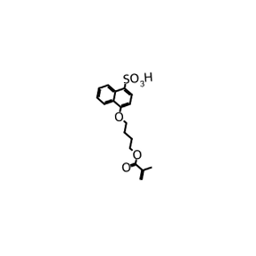 C=C(C)C(=O)OCCCCOc1ccc(S(=O)(=O)O)c2ccccc12